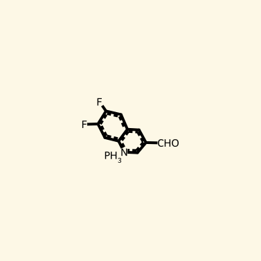 O=Cc1cnc2cc(F)c(F)cc2c1.P